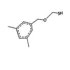 Cc1cc(C)cc(COCS)c1